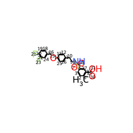 Cc1ccc(S(=O)(=O)NCCc2ccc(OCc3ccc(F)c(F)c3)cc2)cc1C(=O)O